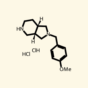 COc1ccc(CN2C[C@H]3CCNC[C@H]3C2)cc1.Cl.Cl